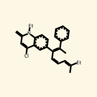 C=C1C=C(Cl)c2cc(C(/C=C\C=C(/C)CC)=C(/C)c3ccccc3)ccc2N1CC